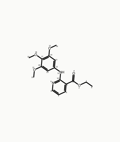 CCOC(=O)c1cccnc1Nc1cc(OC)c(OC)c(OC)c1